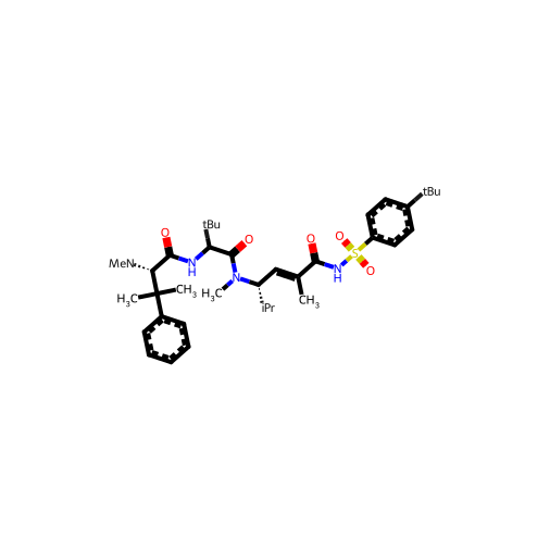 CN[C@H](C(=O)NC(C(=O)N(C)[C@H](/C=C(\C)C(=O)NS(=O)(=O)c1ccc(C(C)(C)C)cc1)C(C)C)C(C)(C)C)C(C)(C)c1ccccc1